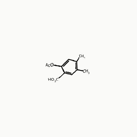 CC(=O)Oc1cc(C)c(C)cc1C(=O)O